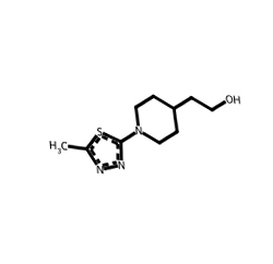 Cc1nnc(N2CCC(CCO)CC2)s1